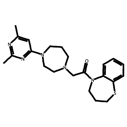 Cc1cc(N2CCCN(CC(=O)N3CCCSc4ccccc43)CC2)nc(C)n1